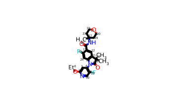 CCOc1cc(N2C(=O)C(C)(C)c3cc(C(=O)NC4(C)CCOCC4)c(F)cc32)c(F)cn1